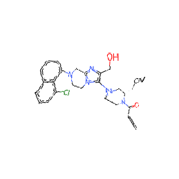 C=CC(=O)N1CCN(c2c(CO)nc3n2CCN(c2cccc4cccc(Cl)c24)C3)C[C@@H]1CC#N